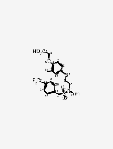 CCCN(CCSc1ccc(OCC(=O)O)c(C)c1)S(=O)(=O)Cc1ccc(C(F)(F)F)cc1